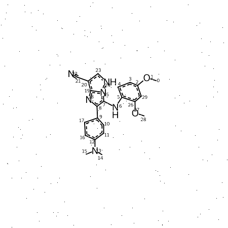 COc1ccc(Nc2c(-c3ccc(N(C)C)cc3)nc3c(C#N)c[nH]n23)c(OC)c1